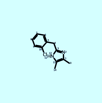 Cc1nc(Cc2ccccc2Cl)[nH]c1C